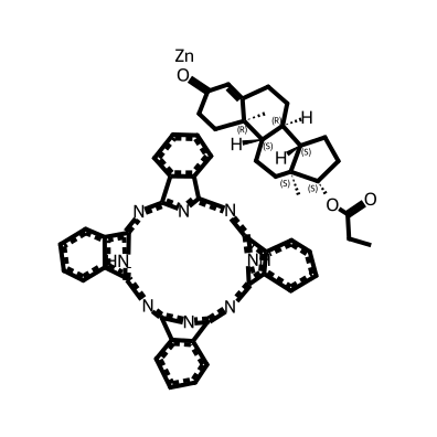 CCC(=O)O[C@H]1CC[C@H]2[C@@H]3CCC4=CC(=O)CC[C@]4(C)[C@H]3CC[C@]12C.[Zn].c1ccc2c(c1)-c1nc-2nc2[nH]c(nc3nc(nc4[nH]c(n1)c1ccccc41)-c1ccccc1-3)c1ccccc21